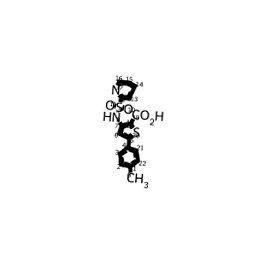 Cc1ccc(-c2cc(NS(=O)(=O)c3ccccn3)c(C(=O)O)s2)cc1